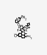 CCc1c(P)ccc2cc(OC)cc(-c3ncc4c(NCC5(N(C)C)CCC5)nc(OC[C@@]56CCCN5C[C@H](P)C6)nc4c3F)c12